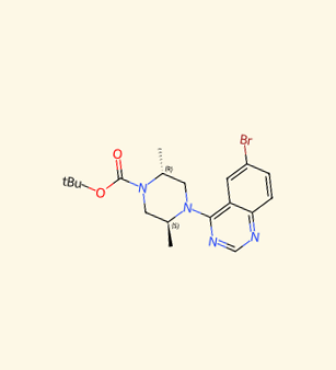 C[C@@H]1CN(c2ncnc3ccc(Br)cc23)[C@@H](C)CN1C(=O)OC(C)(C)C